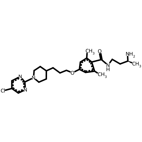 Cc1cc(OCCCC2CCN(c3ncc(Cl)cn3)CC2)cc(C)c1C(=O)NCC[C@H](C)N